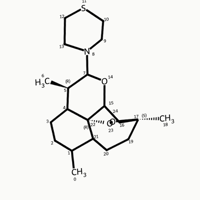 CC1CCC2[C@@H](C)C(N3CCSCC3)OC3C[C@]4(C)CCC1[C@]32OO4